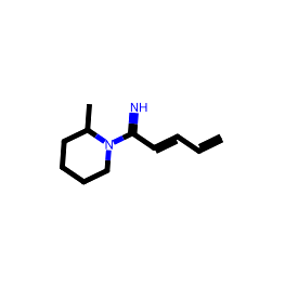 C=C/C=C/C(=N)N1CCCCC1C